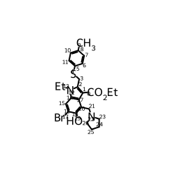 CCOC(=O)c1c(CSc2ccc(C)cc2)n(CC)c2cc(Br)c(O)c(CN3CCCC3)c12